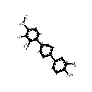 CCCc1ccc(-c2ccc(-c3ccc(OCC)c(F)c3P)cc2)cc1CC